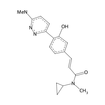 CNc1ccc(-c2ccc(/C=C/C(=O)N(C)C3CC3)cc2O)nn1